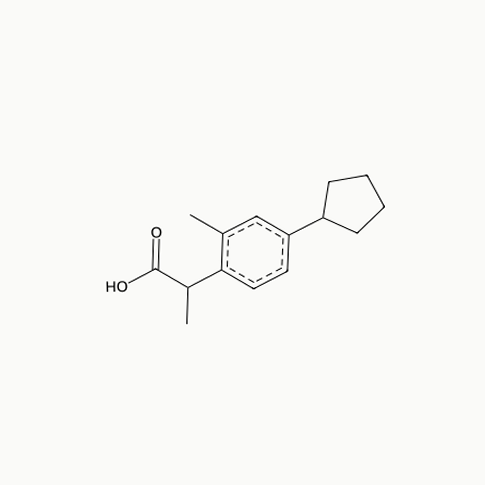 Cc1cc(C2CCCC2)ccc1C(C)C(=O)O